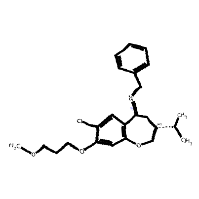 COCCCOc1cc2c(cc1Cl)/C(=N/Cc1ccccc1)C[C@H](C(C)C)CO2